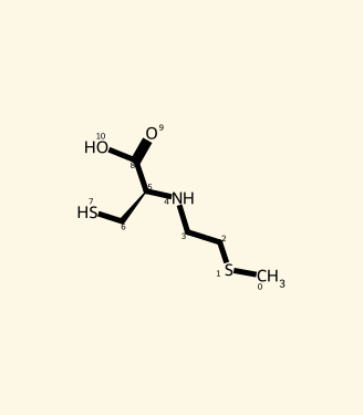 CSCCN[C@@H](CS)C(=O)O